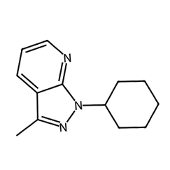 Cc1nn(C2CCCCC2)c2ncccc12